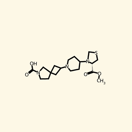 COC(=O)[C@H]1CSCN1C1CCN(C2CC3(CCN(C(=O)O)C3)C2)CC1